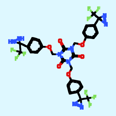 O=c1n(COc2ccc(C3(C(F)(F)F)N=N3)cc2)c(=O)n(COc2ccc(C3(C(F)(F)F)NN3)cc2)c(=O)n1COc1ccc(C2(C(F)(F)F)N=N2)cc1